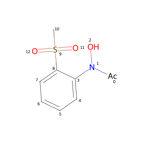 CC(=O)N(O)c1ccccc1S(C)(=O)=O